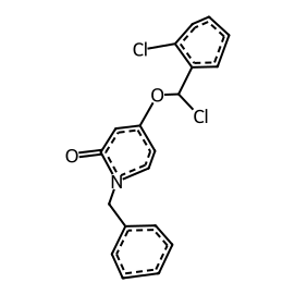 O=c1cc(OC(Cl)c2ccccc2Cl)ccn1Cc1ccccc1